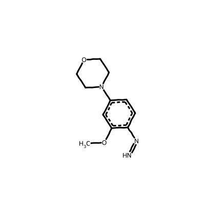 COc1cc(N2CCOCC2)ccc1N=N